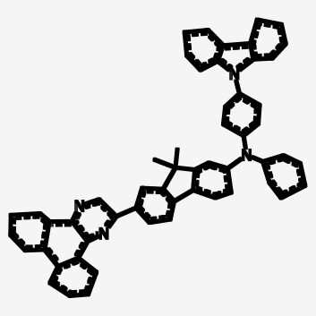 CC1(C)c2cc(-c3cnc4c5ccccc5c5ccccc5c4n3)ccc2-c2ccc(N(c3ccccc3)c3ccc(-n4c5ccccc5c5ccccc54)cc3)cc21